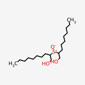 CCCCCCCCC(CO)[S+]([O-])C(CO)CCCCCCCC